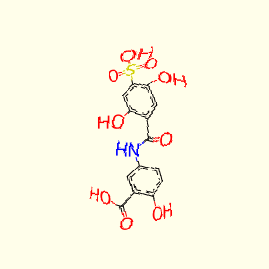 O=C(O)c1cc(NC(=O)c2cc(O)c(S(=O)(=O)O)cc2O)ccc1O